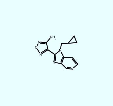 Nc1nonc1-c1nc2cnccc2n1CC1CC1